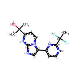 CC(C)(O)c1ccn2c(-c3ccnc(C(C)(F)F)n3)cnc2n1